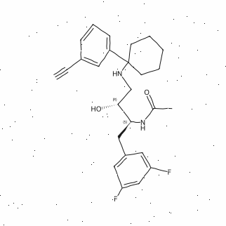 C#Cc1cccc(C2(NC[C@@H](O)[C@H](Cc3cc(F)cc(F)c3)NC(C)=O)CCCCC2)c1